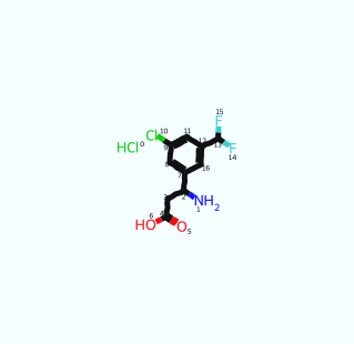 Cl.NC(CC(=O)O)c1cc(Cl)cc(C(F)F)c1